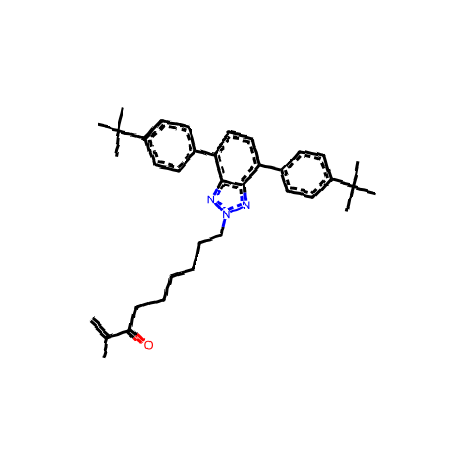 C=C(C)C(=O)CCCCCCn1nc2c(-c3ccc(C(C)(C)C)cc3)ccc(-c3ccc(C(C)(C)C)cc3)c2n1